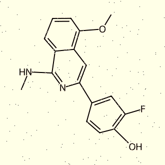 CNc1nc(-c2ccc(O)c(F)c2)cc2c(OC)cccc12